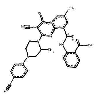 Cc1cc([C@@H](C)Nc2ccccc2C(=O)O)c2nc(N3CCN(c4ccc(C#N)cc4)CC3C)c(C#N)c(=O)n2c1